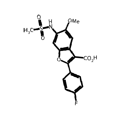 COc1cc2c(C(=O)O)c(-c3ccc(F)cc3)oc2cc1NS(C)(=O)=O